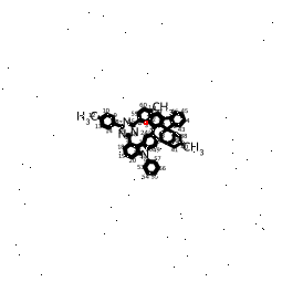 Cc1ccc(-c2nc(-c3ccc(C)cc3)nc(-c3cccc4c3c3cc(-c5cccc6c5C5(CCC7CC5=CC(C)C7)c5ccccc5-6)ccc3n4-c3ccccc3)n2)cc1